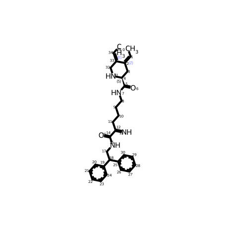 C/C=C1/C[C@@H](C(=O)NCCCCC(=N)C(=O)NCC(c2ccccc2)c2ccccc2)NC/C1=C/C